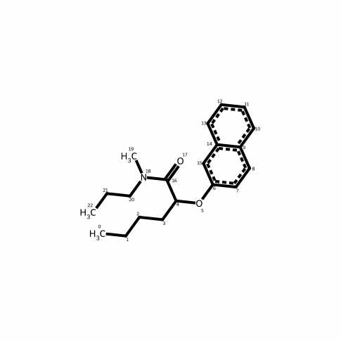 CCCCC(Oc1ccc2ccccc2c1)C(=O)N(C)CCC